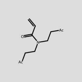 C=CC(=O)N(CCC(C)=O)CCC(C)=O